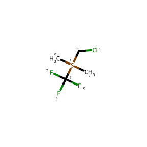 CS(C)(CCl)C(F)(F)F